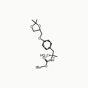 CC(C)(C)OC(=O)N[C@@](C)(Cc1ccc(OCC2COC(C)(C)O2)cc1)C(=O)O